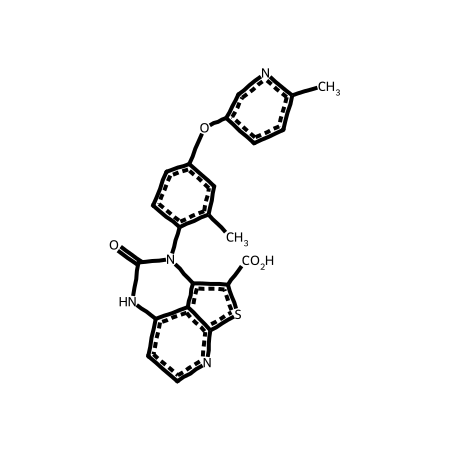 Cc1ccc(Oc2ccc(N3C(=O)Nc4ccnc5sc(C(=O)O)c3c45)c(C)c2)cn1